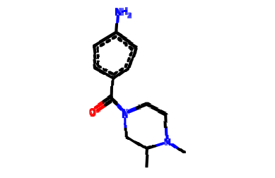 CC1CN(C(=O)c2ccc(N)cc2)CCN1C